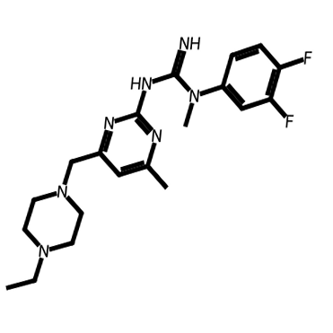 CCN1CCN(Cc2cc(C)nc(NC(=N)N(C)c3ccc(F)c(F)c3)n2)CC1